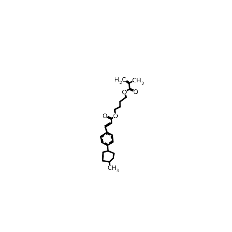 C=C(C)C(=O)OCCCCOC(=O)/C=C/c1ccc(C2CCC(C)CC2)cc1